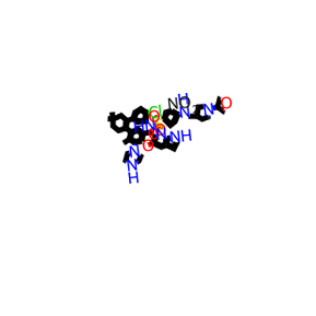 Cc1c(C2=C(c3ccc(Cl)cc3)CC(C)(C)CC2)cc(C(=O)NS(=O)(=O)c2ccc(NCC3CCN(C4COC4)CC3)c([N+](=O)[O-])c2)c(Oc2cnc3[nH]ccc3c2)c1N1CCNCC1